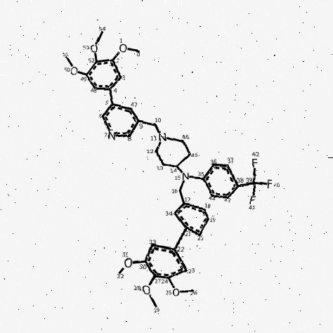 COc1cc(-c2cncc(CN3CCC(N(Cc4cccc(-c5cc(OC)c(OC)c(OC)c5)c4)c4ccc(C(F)(F)F)cc4)CC3)c2)cc(OC)c1OC